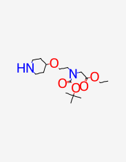 CCOC(=O)CN(CCOC1CCNCC1)C(=O)OC(C)(C)C